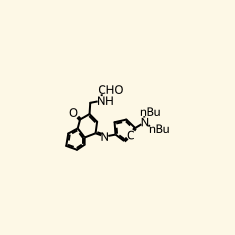 CCCCN(CCCC)c1ccc(N=C2C=C(CNC=O)C(=O)c3ccccc32)cc1